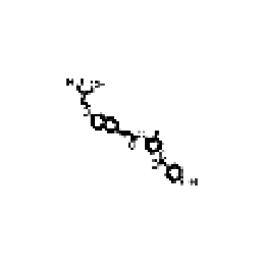 Cc1cc(OC(=O)c2ccc(O)cc2)ccc1OC(=O)/C=C/c1ccc2cc(OCCC(CO)CO)ccc2c1